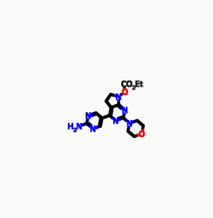 CCOC(=O)ON1CCc2c(-c3cnc(N)nc3)nc(N3CCOCC3)nc21